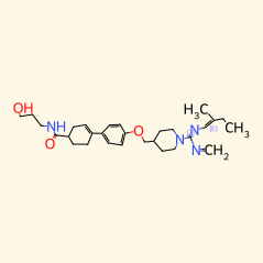 C=N/C(=N\C=C(/C)CC)N1CCC(COc2ccc(C3=CCC(C(=O)NCCCO)CC3)cc2)CC1